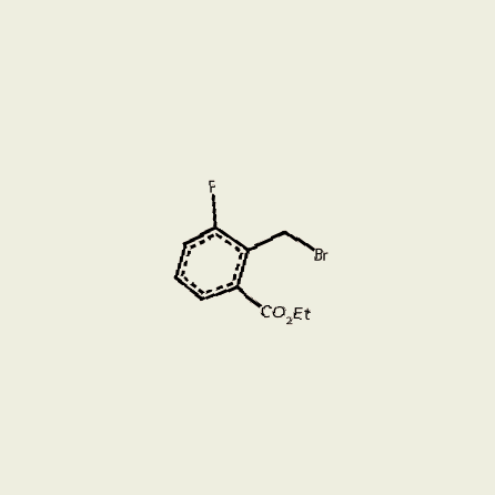 CCOC(=O)c1cccc(F)c1CBr